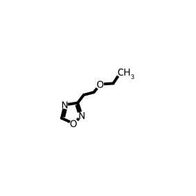 CCOCCc1ncon1